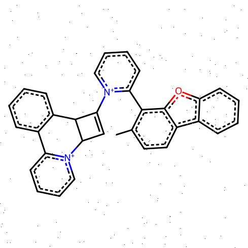 Cc1ccc2c(oc3ccccc32)c1-c1cccc[n+]1C1=CC2C1c1ccccc1-c1cccc[n+]12